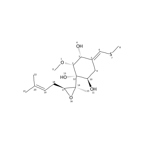 CO[C@@H]1[C@H](O)C(=CSC)C[C@@H](O)[C@@]1(O)[C@@]1(C)O[C@H]1CC=C(C)C